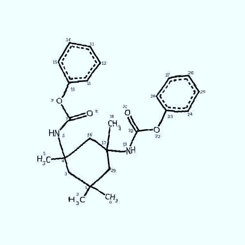 CC1(C)CC(C)(NC(=O)Oc2ccccc2)CC(C)(NC(=O)Oc2ccccc2)C1